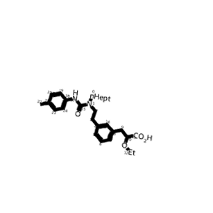 CCCCCCCN(CCc1cccc(CC(OCC)C(=O)O)c1)C(=O)Nc1ccc(C)cc1